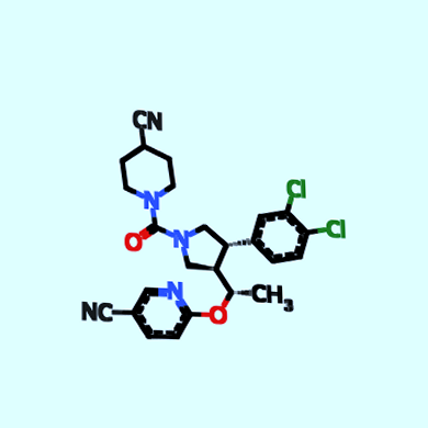 C[C@H](Oc1ccc(C#N)cn1)[C@H]1CN(C(=O)N2CCC(C#N)CC2)C[C@@H]1c1ccc(Cl)c(Cl)c1